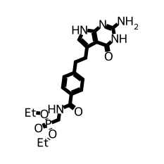 CCOP(=O)(CNC(=O)c1ccc(CCc2c[nH]c3nc(N)[nH]c(=O)c23)cc1)OCC